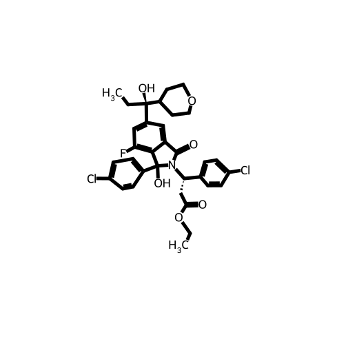 CCOC(=O)C[C@@H](c1ccc(Cl)cc1)N1C(=O)c2cc([C@](O)(CC)C3CCOCC3)cc(F)c2C1(O)c1ccc(Cl)cc1